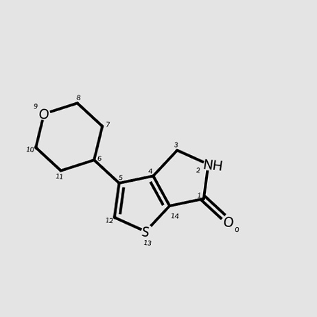 O=C1NCc2c(C3CCOCC3)csc21